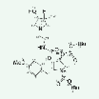 COc1ccc(C[C@@H]2[C@H](OC(=O)NCCN3CC(O)C(F)(F)C3)[C@@H](OC(=O)OC(C)(C)C)CN2C(=O)OC(C)(C)C)cc1